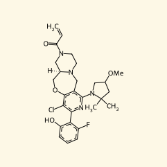 C=CC(=O)N1CCN2Cc3c(N4CC(OC)CC4(C)C)nc(-c4c(O)cccc4F)c(Cl)c3OC[C@H]2C1